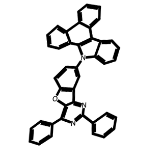 c1ccc(-c2nc(-c3ccccc3)c3oc4ccc(-n5c6ccccc6c6c7ccccc7c7ccccc7c65)cc4c3n2)cc1